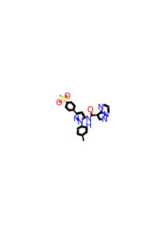 Cc1ccc(-n2nc(-c3ccc(S(C)(=O)=O)cc3)cc2NC(=O)c2cnn3cccnc23)cc1